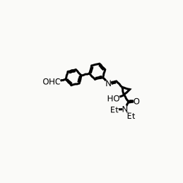 CCN(CC)C(=O)C1(O)CC1/C=N/c1cccc(-c2ccc(C=O)cc2)c1